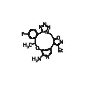 CCc1noc2c1-c1cnc(N)c(c1)OC(C)c1cc(F)ccc1-c1nnnn1C2